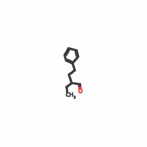 CCC(C=O)CCc1ccccc1